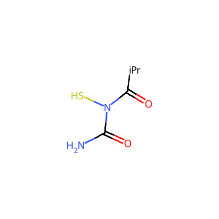 CC(C)C(=O)N(S)C(N)=O